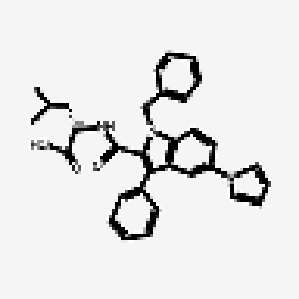 CC(C)C[C@H](NC(=O)c1c(-c2ccccc2)c2cc(-n3cccc3)ccc2n1Cc1ccccc1)C(=O)O